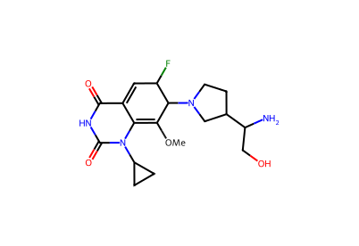 COC1=c2c(c(=O)[nH]c(=O)n2C2CC2)=CC(F)C1N1CCC(C(N)CO)C1